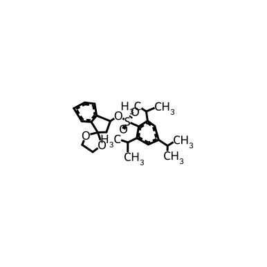 CC(C)c1cc(C(C)C)c(S(=O)(=O)OC2CC3(OCCO3)c3ccccc32)c(C(C)C)c1